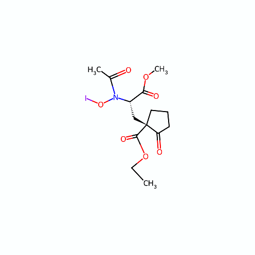 CCOC(=O)[C@]1(C[C@@H](C(=O)OC)N(OI)C(C)=O)CCCC1=O